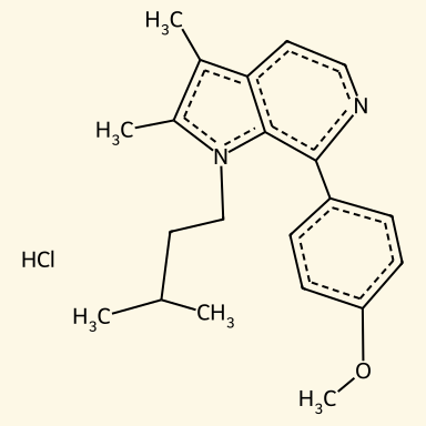 COc1ccc(-c2nccc3c(C)c(C)n(CCC(C)C)c23)cc1.Cl